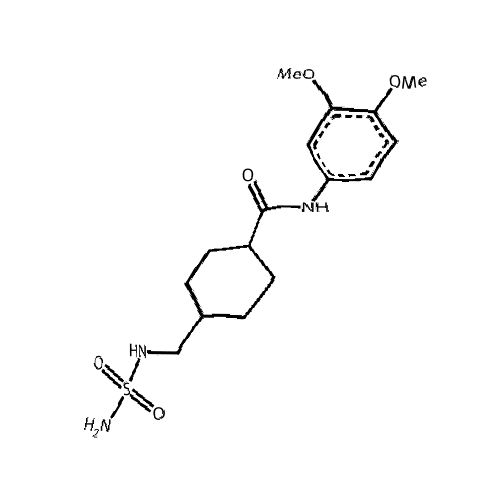 COc1ccc(NC(=O)C2CCC(CNS(N)(=O)=O)CC2)cc1OC